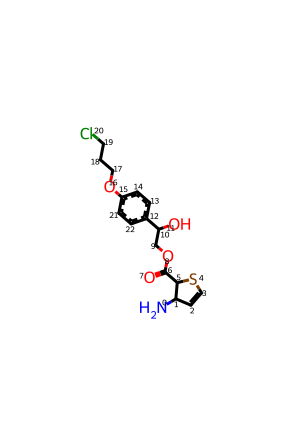 NC1C=CSC1C(=O)OCC(O)c1ccc(OCCCCl)cc1